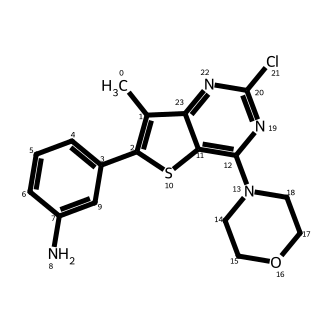 Cc1c(-c2cccc(N)c2)sc2c(N3CCOCC3)nc(Cl)nc12